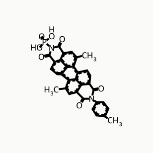 Cc1ccc(N2C(=O)c3ccc4c5c(C)cc6c7c(ccc(c8c(C)cc(c3c48)C2=O)c75)C(=O)N(P(=O)(O)O)C6=O)cc1